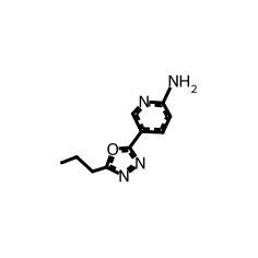 CCCc1nnc(-c2ccc(N)nc2)o1